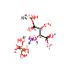 N.O=C([O-])C(O)C(O)C(=O)O.O=S(=O)(O)O.[Na+]